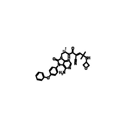 C[C@@H](Cn1c(=O)n(-c2ccc(Oc3ccccc3)cc2)c2c(N)ncnc21)NC(=O)C(C#N)=CC(C)(C)NC1COC1